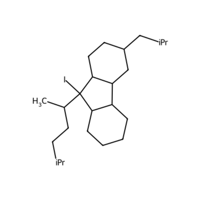 CC(C)CCC(C)C1(I)C2CCCCC2C2CC(CC(C)C)CCC21